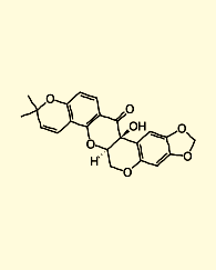 CC1(C)C=Cc2c(ccc3c2O[C@@H]2COc4cc5c(cc4[C@@]2(O)C3=O)OCO5)O1